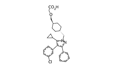 O=C(O)COC[C@H]1CC[C@H](Cn2nc(-c3ccccc3)c(-c3cccc(Cl)c3)c2C2CC2)CC1